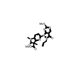 C=CCn1c(=O)c2cnc(SC)nc2n1-c1ccc2c(n1)C(C)(C(=O)OC)C(=O)N2C